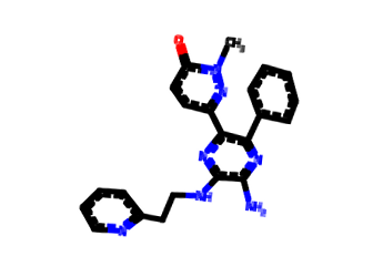 Cn1nc(-c2nc(NCCc3ccccn3)c(N)nc2-c2ccccc2)ccc1=O